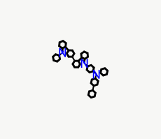 c1ccc(-c2ccc(N(c3ccccc3)c3ccc(-n4c5ccccc5c5c(-c6ccc7c8ccccc8n(-c8ccccc8)c7c6)cccc54)cc3)cc2)cc1